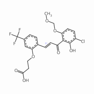 COCOc1ccc(Cl)c(O)c1C(=O)/C=C/c1ccc(C(F)(F)F)cc1OCCC(=O)O